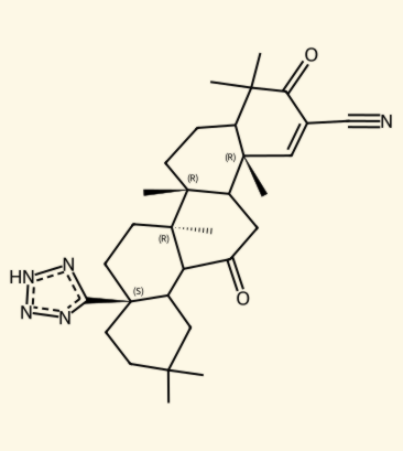 CC1(C)CC[C@]2(c3nn[nH]n3)CC[C@]3(C)C(C(=O)CC4[C@@]5(C)C=C(C#N)C(=O)C(C)(C)C5CC[C@]43C)C2C1